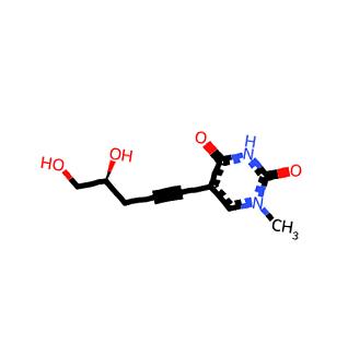 Cn1cc(C#CC[C@H](O)CO)c(=O)[nH]c1=O